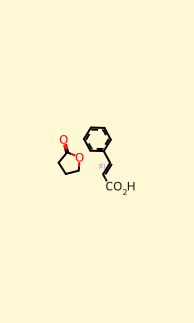 O=C(O)/C=C/c1ccccc1.O=C1CCCO1